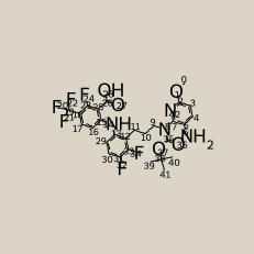 COc1ccc(N)c(N(CCCc2c(Nc3ccc(C(F)(F)F)c(F)c3C(=O)O)ccc(F)c2F)C(=O)OC(C)(C)C)n1